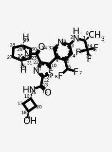 C[C@H](Nc1cc(C(F)F)c(-c2sc(C(=O)N[C@H]3C[C@H](O)C3)nc2C(=O)N2[C@H]3CC[C@H]2CC3)cn1)C(F)(F)F